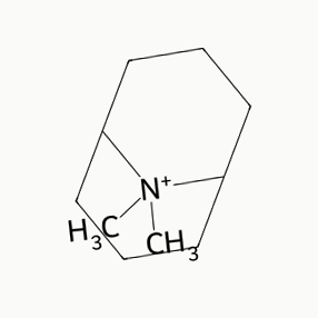 C[N+]1(C)C2CCCC1CCC2